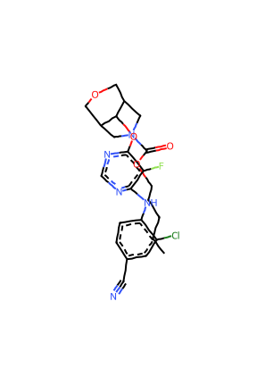 CCCCCOC(=O)N1CC2COCC(C1)C2Oc1ncnc(Nc2ccc(C#N)cc2Cl)c1F